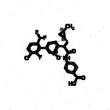 C[C@@H]1C[C@H]1CC(C(=O)Nc1ccc(C(=O)O)cc1)c1ccc(-c2c(C(F)F)ccc(Cl)c2F)c[n+]1[O-]